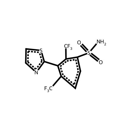 NS(=O)(=O)c1ccc(C(F)(F)F)c(-c2nccs2)c1C(F)(F)F